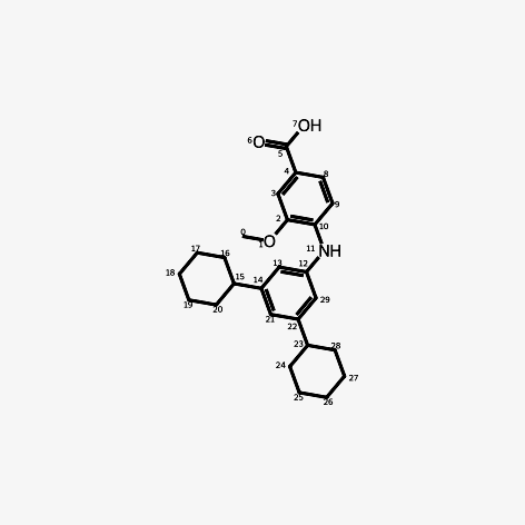 COc1cc(C(=O)O)ccc1Nc1cc(C2CCCCC2)cc(C2CCCCC2)c1